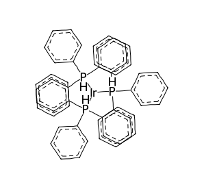 c1ccc([PH](c2ccccc2)(c2ccccc2)[Ir]([PH](c2ccccc2)(c2ccccc2)c2ccccc2)[PH](c2ccccc2)(c2ccccc2)c2ccccc2)cc1